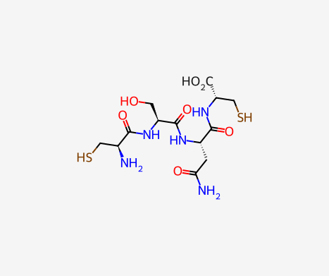 NC(=O)C[C@H](NC(=O)[C@H](CO)NC(=O)[C@@H](N)CS)C(=O)N[C@@H](CS)C(=O)O